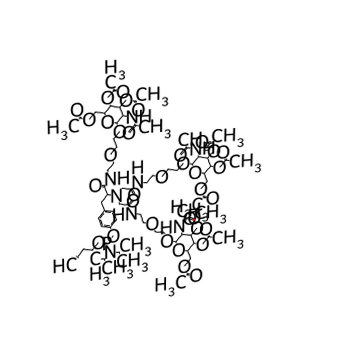 C#CCCOP(Oc1ccc(CC(C(=O)NCCOCCOC2OC(COC(C)=O)C(OC(C)=O)C(OC(C)=O)C2NC(C)=O)N(CC(=O)NCCOCCOC2OC(COC(C)=O)C(OC(C)=O)C(OC(C)=O)C2NC(C)=O)CC(=O)NCCOCCOC2OC(COC(C)=O)C(OC(C)=O)C(OC(C)=O)C2NC(C)=O)cc1)N(C(C)C)C(C)C